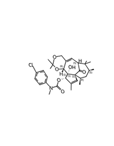 CC1=C[C@]23C(=O)[C@@H](C=C4COC(C)(C)O[C@H]4[C@]2(O)[C@H]1OC(=O)N(C)c1ccc(Cl)cc1)C(C)(C)[C@@H](C)C[C@H]3C